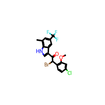 COc1cc(Cl)ccc1C(Br)C(=O)c1c[nH]c2c(C)cc(C(F)(F)F)cc12